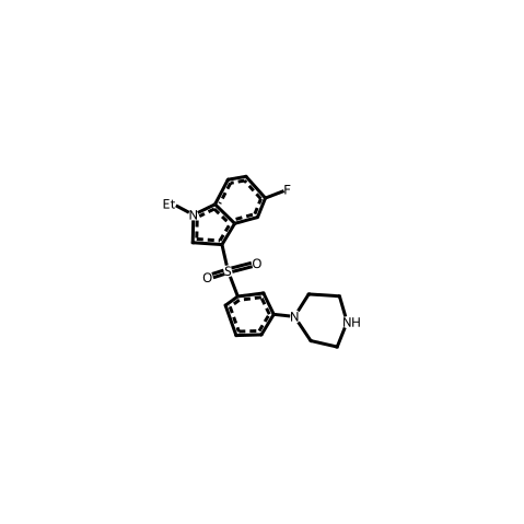 CCn1cc(S(=O)(=O)c2cccc(N3CCNCC3)c2)c2cc(F)ccc21